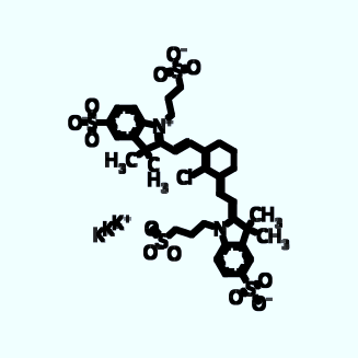 CC1(C)C(/C=C/C2=C(Cl)C(=C/C=C3\N(CCCS(=O)(=O)[O-])c4ccc(S(=O)(=O)[O-])cc4C3(C)C)/CCC2)=[N+](CCCS(=O)(=O)[O-])c2ccc(S(=O)(=O)[O-])cc21.[K+].[K+].[K+]